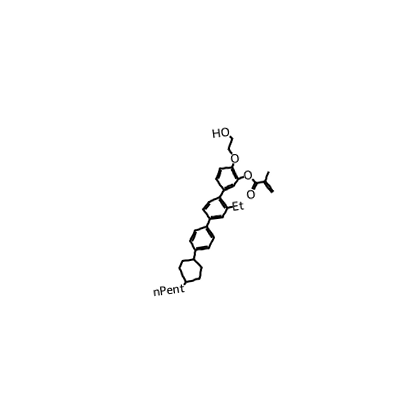 C=C(C)C(=O)Oc1cc(-c2ccc(-c3ccc(C4CCC(CCCCC)CC4)cc3)cc2CC)ccc1OCCO